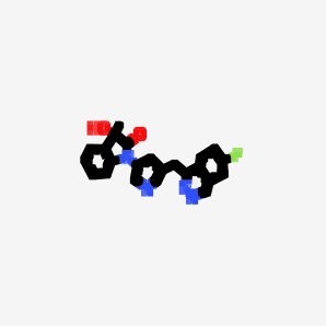 CC1(O)C(=O)N(c2cncc(Cc3nncc4cc(F)ccc34)c2)c2ccccc21